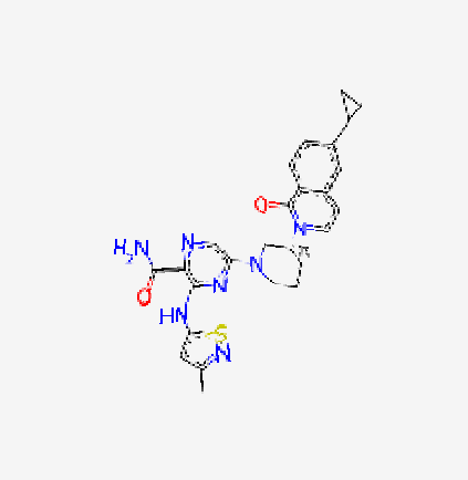 Cc1cc(Nc2nc(N3CCC[C@@H](n4ccc5cc(C6CC6)ccc5c4=O)C3)cnc2C(N)=O)sn1